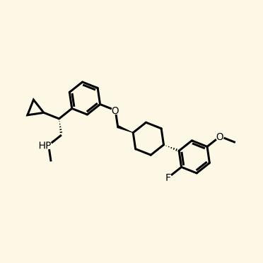 COc1ccc(F)c([C@H]2CC[C@H](COc3cccc([C@H](CPC)C4CC4)c3)CC2)c1